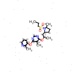 CCCS(=O)(=O)N1C(C)CCC1C[C@@H](C)Oc1ncnc(Oc2cccnc2C)c1C